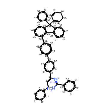 N/C(=N\C(=C/Cc1ccccc1)c1ccc(-c2ccc(-c3cccc4c3-c3ccccc3C4(C3=CCCC=C3)c3ccccc3)cc2)cc1)c1ccccc1